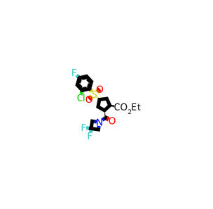 CCOC(=O)[C@@H]1C[C@@H](S(=O)(=O)c2ccc(F)cc2Cl)C[C@H]1C(=O)N1CC(F)(F)C1